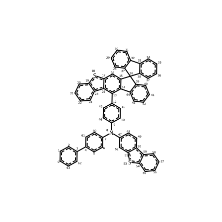 c1ccc(-c2ccc(N(c3ccc(-c4c5c(cc6sc7ccccc7c46)C4(c6ccccc6-c6ccccc64)c4ccccc4-5)cc3)c3ccc4c(c3)sc3ccccc34)cc2)cc1